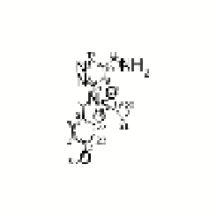 COc1ccc(CN(c2cc(CN)cnn2)S(=O)(=O)C2CC2)cc1